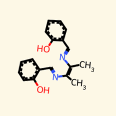 CC(N=Cc1ccccc1O)=C(C)N=Cc1ccccc1O